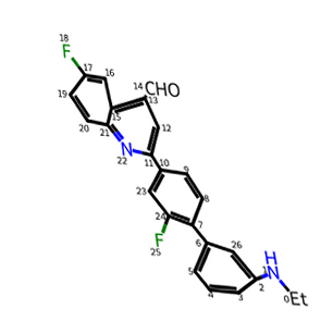 CCNc1cccc(-c2ccc(-c3cc(C=O)c4cc(F)ccc4n3)cc2F)c1